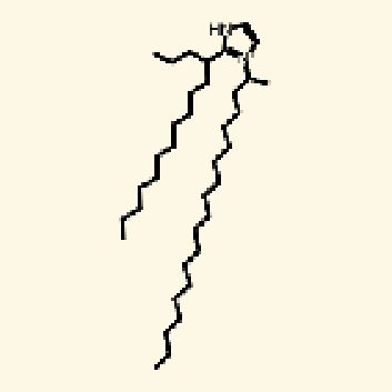 CCCCCCCCCCCCCCCCCC(C)[n+]1cc[nH]c1C(CCC)CCCCCCCCCCC